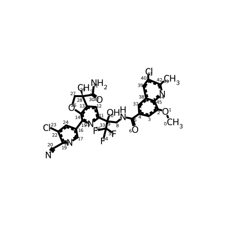 COc1cc(C(=O)NCC(O)(c2cc3c(c(-c4cnc(C#N)c(Cl)c4)n2)OC[C@]3(C)C(N)=O)C(F)(F)F)cc2cc(Cl)c(C)nc12